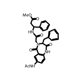 COC(=O)CC(NC(=O)CN1C(=O)c2cc(NC(C)=O)ccc2NC(=O)C1Cc1ccccc1)c1ccccc1